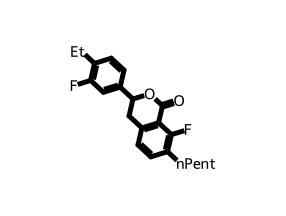 CCCCCc1ccc2c(c1F)C(=O)OC(c1ccc(CC)c(F)c1)C2